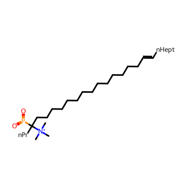 CCCCCCCC=CCCCCCCCCCCCCCCC(CCC)(P(=O)=O)[N+](C)(C)C